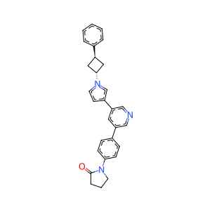 O=C1CCCN1c1ccc(-c2cncc(-c3ccn([C@H]4C[C@H](c5ccccc5)C4)c3)c2)cc1